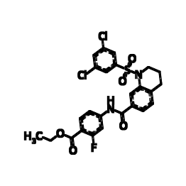 CCOC(=O)c1ccc(NC(=O)c2ccc3c(c2)N(S(=O)(=O)c2cc(Cl)cc(Cl)c2)CCC3)cc1F